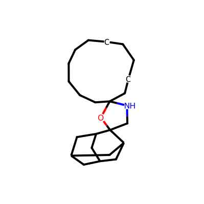 C1CCCCCC2(CCCCC1)NCC1(O2)C2CC3CC(C2)CC1C3